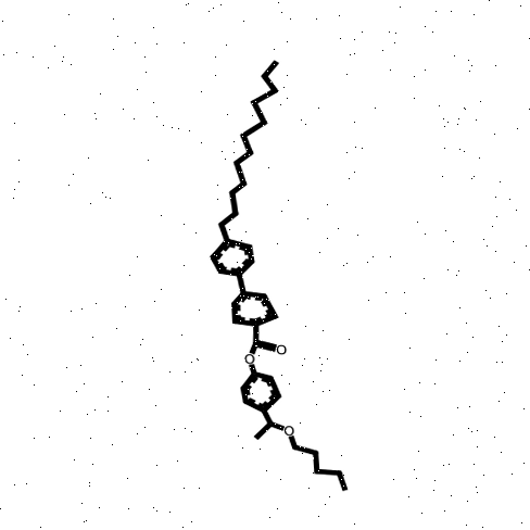 CCCCCCCCCCCCc1ccc(-c2ccc(C(=O)Oc3ccc(C(C)OCCCCC)cc3)cc2)cc1